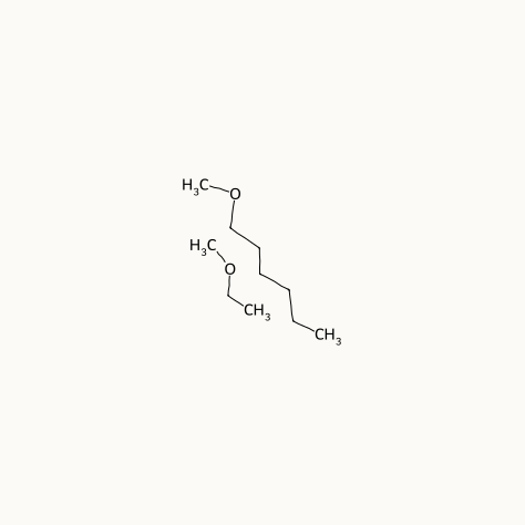 CCCCCCOC.CCOC